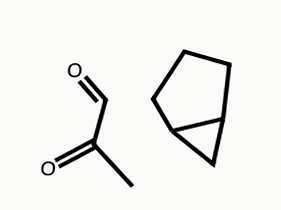 C1CC2CC2C1.CC(=O)C=O